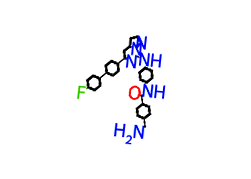 NCc1ccc(C(=O)Nc2ccc(Nc3nc(-c4ccc(-c5ccc(F)cc5)cc4)cc4ccnn34)cc2)cc1